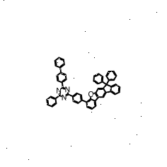 c1ccc(-c2ccc(-c3nc(-c4ccccc4)nc(-c4ccc(-c5cccc6c5oc5cc7c(cc56)-c5ccccc5C7(c5ccccc5)c5ccccc5)cc4)n3)cc2)cc1